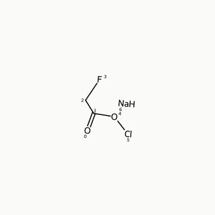 O=C(CF)OCl.[NaH]